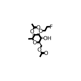 CC(=O)OC[C@H]1OC(C)[C@H](OC(C)=O)[C@H](OCCF)[C@@H]1O